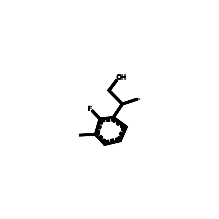 [CH2]C(CO)c1cccc(C)c1F